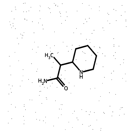 CC(C(N)=O)C1CCCCN1